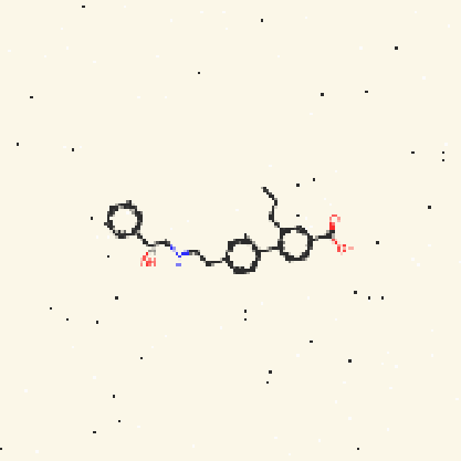 CCCc1cc(C(=O)O)ccc1-c1ccc(CCNC[C@H](O)c2ccccc2)cc1